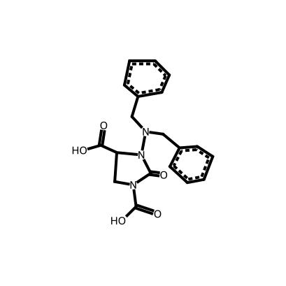 O=C(O)C1CN(C(=O)O)C(=O)N1N(Cc1ccccc1)Cc1ccccc1